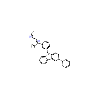 C/C=C\C=C(\c1cccc(-n2c3ccccc3c3cc(-c4ccccc4)ccc32)c1)C(C)C